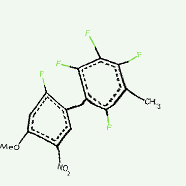 COc1cc(F)c(-c2c(F)c(C)c(F)c(F)c2F)cc1[N+](=O)[O-]